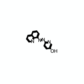 Oc1ccc(N=Nc2cccc3cccnc23)nc1